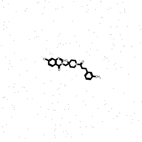 Cc1cccc(CCC(=O)N2CCC(O)(Cn3cnc4cc(Cl)ccc4c3=O)CC2)c1